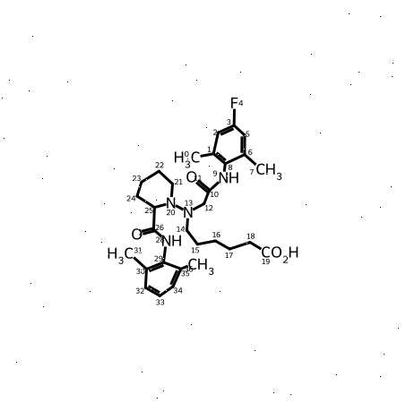 Cc1cc(F)cc(C)c1NC(=O)CN(CCCCCC(=O)O)N1CCCCC1C(=O)Nc1c(C)cccc1C